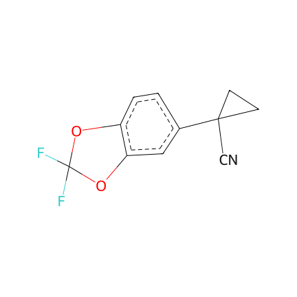 N#CC1(c2ccc3c(c2)OC(F)(F)O3)CC1